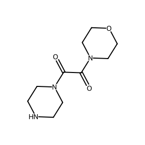 O=C(C(=O)N1CCOCC1)N1CCNCC1